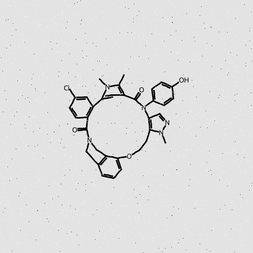 Cc1c2cc(n1C)-c1cc(Cl)ccc1C(=O)N1Cc3cccc(c3C1)OCCc1c(cnn1C)N(c1ccc(O)cc1)C2=O